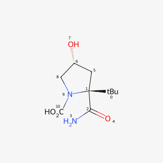 CC(C)(C)[C@]1(C(N)=O)C[C@@H](O)CN1C(=O)O